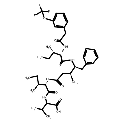 CC[C@H](C)[C@H](NC(=O)C[C@H](N)[C@H](Cc1ccccc1)NC(=O)[C@@H](NC(=O)Cc1cccc(OC(F)(F)F)c1)[C@@H](C)CC)C(=O)NC(C(=O)O)C(C)C